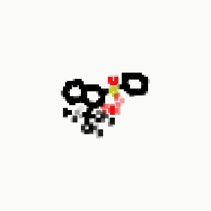 CC(C)(C)c1c(O)c(S(=O)(=O)c2ccccc2)cc2ccccc12